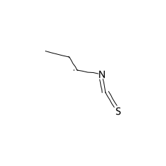 CC[CH]N=C=S